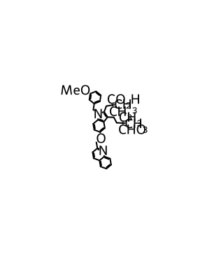 COc1cccc(Cn2c(CC(C)(C)C(=O)O)c(CCC(C)(C)C=O)c3cc(OCc4ccc5ccccc5n4)ccc32)c1